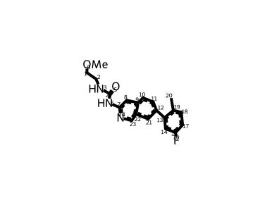 COCCNC(=O)Nc1cc2ccc(-c3cc(F)ccc3C)cc2cn1